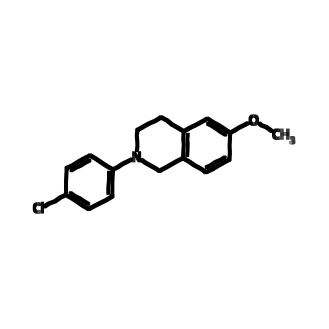 COc1ccc2c(c1)CCN(c1ccc(Cl)cc1)C2